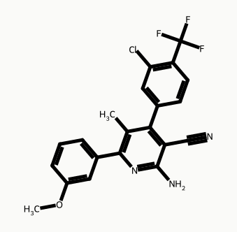 COc1cccc(-c2nc(N)c(C#N)c(-c3ccc(C(F)(F)F)c(Cl)c3)c2C)c1